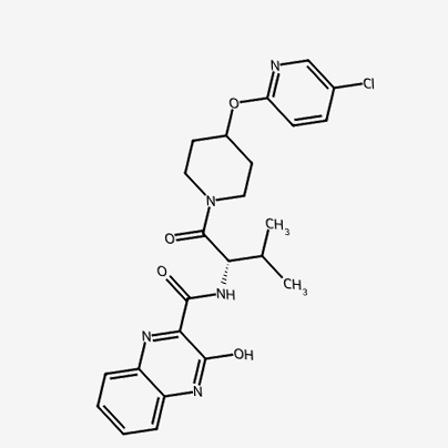 CC(C)[C@H](NC(=O)c1nc2ccccc2nc1O)C(=O)N1CCC(Oc2ccc(Cl)cn2)CC1